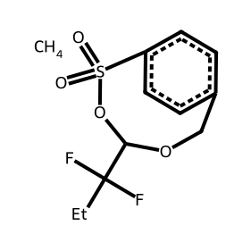 C.CCC(F)(F)C1OCc2ccc(cc2)S(=O)(=O)O1